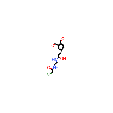 O=Cc1ccc(CCC(O)NCCNC(=O)CCl)cc1C=O